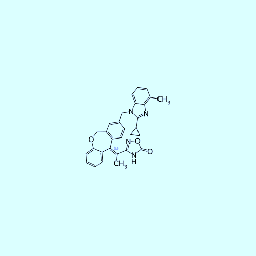 C/C(=C1/c2ccc(Cn3c(C4CC4)nc4c(C)cccc43)cc2COc2ccccc21)c1noc(=O)[nH]1